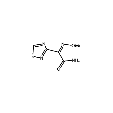 CON=C(C(N)=O)c1ncsn1